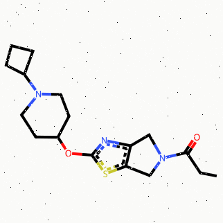 CCC(=O)N1Cc2nc(OC3CCN(C4CCC4)CC3)sc2C1